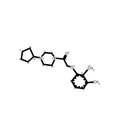 Cc1cccc(OCC(=O)N2CCN(C3CCCC3)CC2)c1C